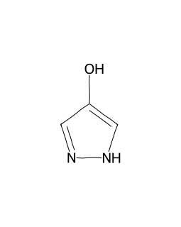 Oc1cn[nH]c1